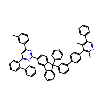 Cc1cccc(-c2cc(-c3ccccc3-c3ccccc3)nc(-c3ccc4c(c3)-c3ccccc3C4(c3ccccc3)c3cccc(-c4ccc(-c5c(C)ncc(-c6ccccc6)c5C)cc4)c3)n2)c1